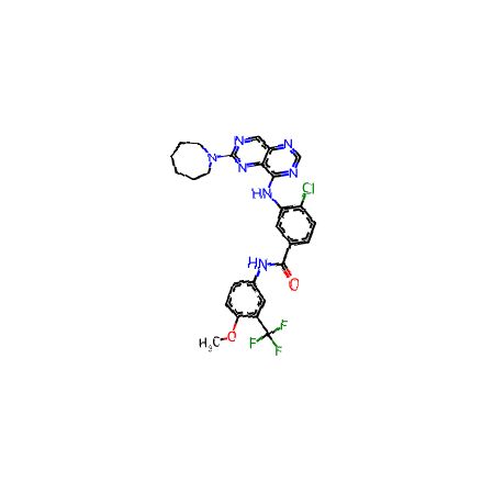 COc1ccc(NC(=O)c2ccc(Cl)c(Nc3ncnc4cnc(N5CCCCCC5)nc34)c2)cc1C(F)(F)F